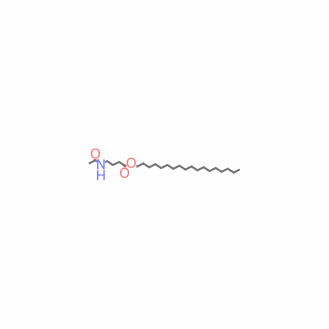 CCCCCCCCCCCCCCCCCCOC(=O)CCCNC(C)=O